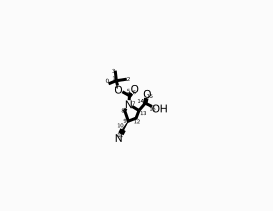 CC(C)(C)OC(=O)N1C[C@H](C#N)CC1C(=O)O